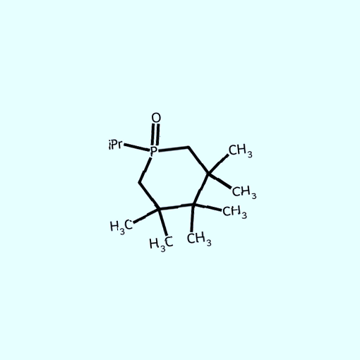 CC(C)P1(=O)CC(C)(C)C(C)(C)C(C)(C)C1